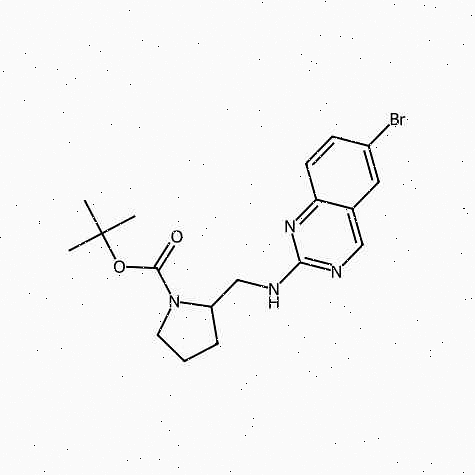 CC(C)(C)OC(=O)N1CCCC1CNc1ncc2cc(Br)ccc2n1